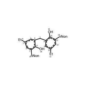 CCCCCCCCCc1cc(CC)cc(Cc2cc(CC)cc(CCCCCCCCC)c2O)c1O